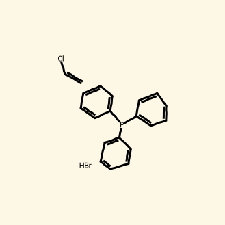 Br.C=CCl.c1ccc(P(c2ccccc2)c2ccccc2)cc1